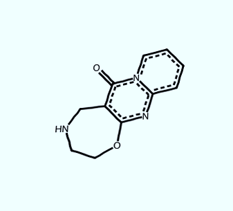 O=c1c2c(nc3ccccn13)OCCNC2